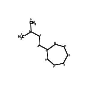 CC(C)CCC1CCCCCC1